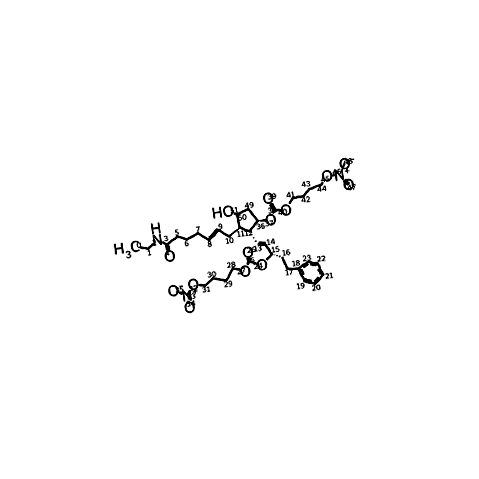 CCNC(=O)CCCC=CC[C@@H]1[C@@H](C=C[C@H](CCc2ccccc2)OC(=O)OCCCCO[N+](=O)[O-])[C@H](OC(=O)OCCCCO[N+](=O)[O-])C[C@@H]1O